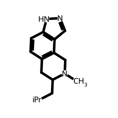 CC(C)CC1Cc2ccc3[nH]ncc3c2CN1C